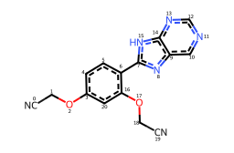 N#CCOc1ccc(-c2nc3cncnc3[nH]2)c(OCC#N)c1